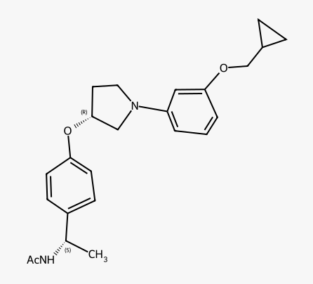 CC(=O)N[C@@H](C)c1ccc(O[C@@H]2CCN(c3cccc(OCC4CC4)c3)C2)cc1